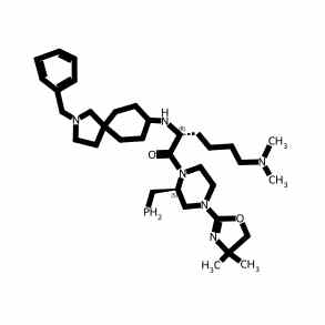 CN(C)CCCC[C@@H](NC1CCC2(CC1)CCN(Cc1ccccc1)C2)C(=O)N1CCN(C2=NC(C)(C)CO2)C[C@H]1CP